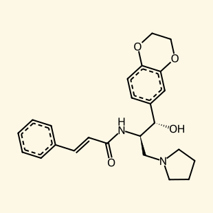 O=C(/C=C/c1ccccc1)N[C@H](CN1CCCC1)[C@@H](O)c1ccc2c(c1)OCCO2